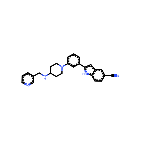 N#Cc1ccc2[nH]c(-c3cccc(N4CCC(NCc5cccnc5)CC4)c3)cc2c1